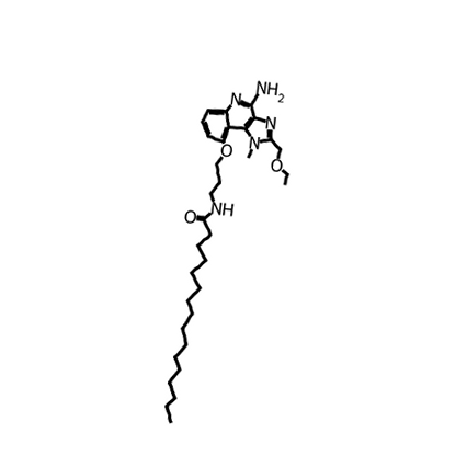 CCCCCCCCCCCCCCCC(=O)NCCCOc1cccc2nc(N)c3nc(COCC)n(C)c3c12